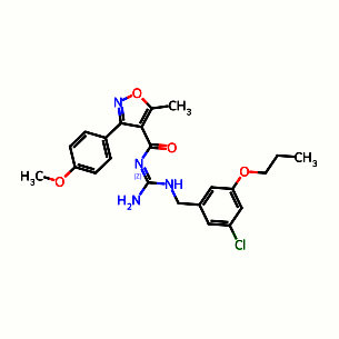 CCCOc1cc(Cl)cc(CN/C(N)=N\C(=O)c2c(-c3ccc(OC)cc3)noc2C)c1